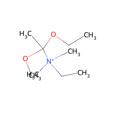 CCOC(C)(OC)[N+](C)(C)CC